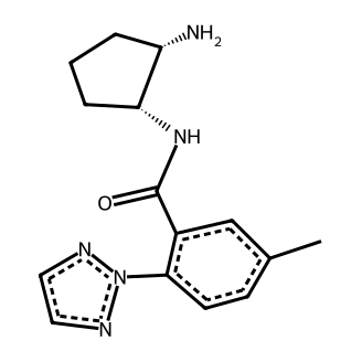 Cc1ccc(-n2nccn2)c(C(=O)N[C@@H]2CCC[C@@H]2N)c1